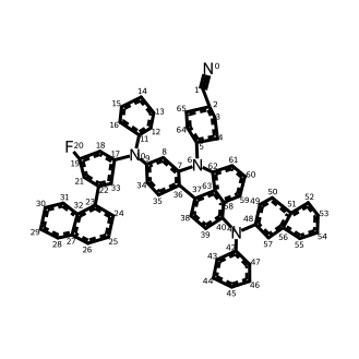 N#Cc1ccc(N2c3cc(N(c4ccccc4)c4cc(F)cc(-c5cccc6ccccc56)c4)ccc3-c3ccc(N(c4ccccc4)c4ccc5ccccc5c4)c4cccc2c34)cc1